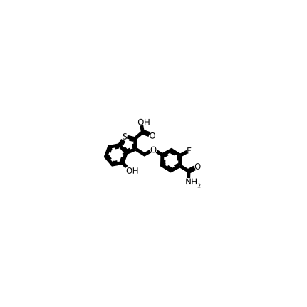 NC(=O)c1ccc(OCc2c(C(=O)O)sc3cccc(O)c23)cc1F